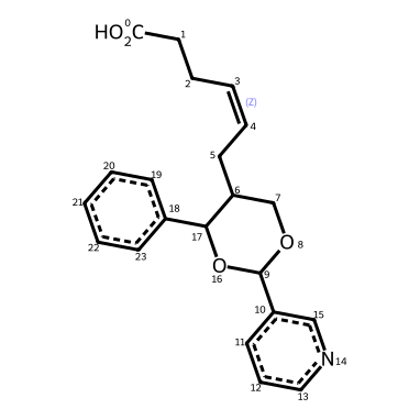 O=C(O)CC/C=C\CC1COC(c2cccnc2)OC1c1ccccc1